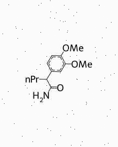 CCCC(C(N)=O)c1ccc(OC)c(OC)c1